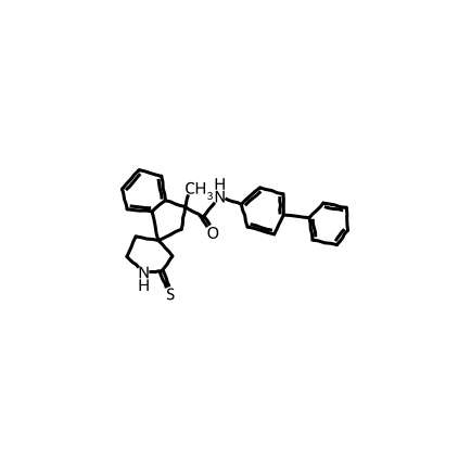 CC1(C(=O)Nc2ccc(-c3ccccc3)cc2)CC2(CCNC(=S)C2)c2ccccc21